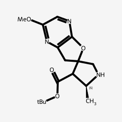 COc1cnc2c(n1)CC1(CN[C@@H](C)C1C(=O)OC(C)(C)C)O2